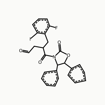 O=CCC(Cc1c(F)cccc1I)C(=O)N1C(=O)OC(c2ccccc2)C1c1ccccc1